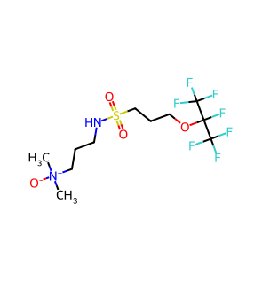 C[N+](C)([O-])CCCNS(=O)(=O)CCCOC(F)(C(F)(F)F)C(F)(F)F